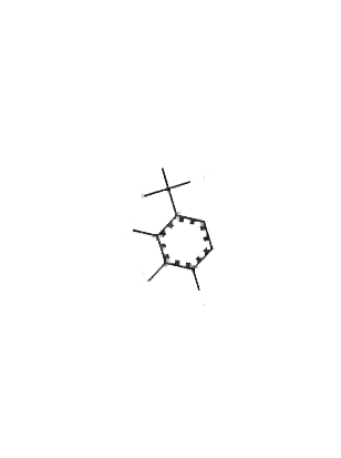 OC(Cl)(Cl)c1ccc(Cl)c(Cl)c1Cl